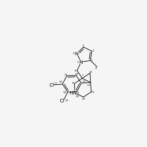 Cc1ccnn1CC12CNCCC1(c1ccc(Cl)c(Cl)c1)C2